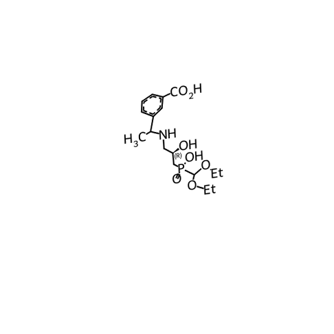 CCOC(OCC)P(=O)(O)C[C@H](O)CNC(C)c1cccc(C(=O)O)c1